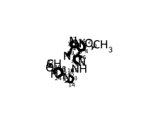 CCOc1cc(-c2ccc(NC[C@@H]3CCCN3c3ccc(OC)nc3)nc2)c2c(C#N)cnn2c1